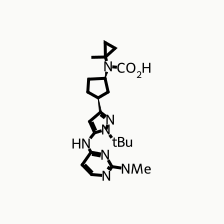 CNc1nccc(Nc2cc([C@H]3CC[C@@H](N(C(=O)O)C4(C)CC4)C3)nn2C(C)(C)C)n1